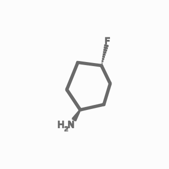 N[C@H]1CC[C@H](F)CC1